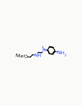 COCCNCCN(C)c1ccc(N)cc1